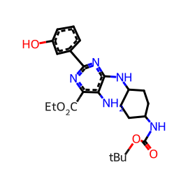 CCOC(=O)c1nc(-c2cccc(O)c2)nc(NC2CCC(NC(=O)OC(C)(C)C)CC2)c1N